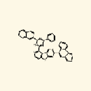 c1ccc(C2=NC(c3ccc4ccccc4c3)NC(c3nccc4oc5cc(-c6cc7ccccc7c7ccccc67)ccc5c34)=N2)cc1